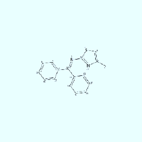 Cc1csc(N=C(c2ccccc2)c2ccccc2)n1